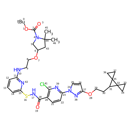 CC(C)(C)OC(=O)N1CC(OCCNc2cccc(SNC(=O)c3ccc(-n4ccc(OCCC5C6(CC6)C56CC6)n4)nc3Cl)n2)CC1(C)C